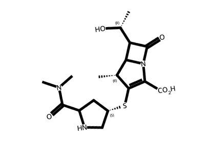 C[C@@H](O)C1C(=O)N2C(C(=O)O)=C(S[C@@H]3CNC(C(=O)N(C)C)C3)[C@H](C)C12